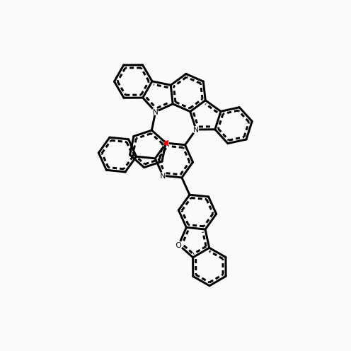 c1ccc(-c2nc(-c3ccc4c(c3)oc3ccccc34)cc(-n3c4ccccc4c4ccc5c6ccccc6n(-c6ccccc6)c5c43)n2)cc1